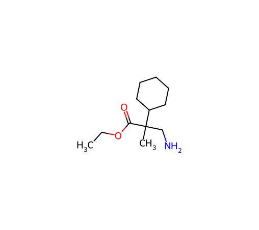 CCOC(=O)C(C)(CN)C1CCCCC1